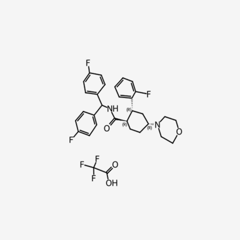 O=C(NC(c1ccc(F)cc1)c1ccc(F)cc1)[C@@H]1CC[C@@H](N2CCOCC2)C[C@H]1c1ccccc1F.O=C(O)C(F)(F)F